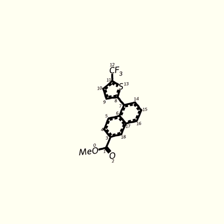 COC(=O)c1ccc2c(-c3ccc(C(F)(F)F)s3)cccc2c1